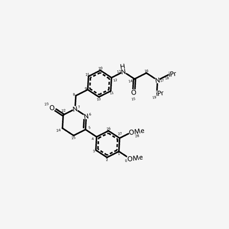 COc1ccc(C2=NN(Cc3ccc(NC(=O)CN(C(C)C)C(C)C)cc3)C(=O)CC2)cc1OC